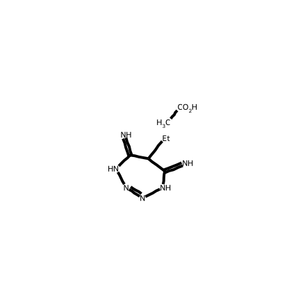 CC(=O)O.CCC1C(=N)NN=NNC1=N